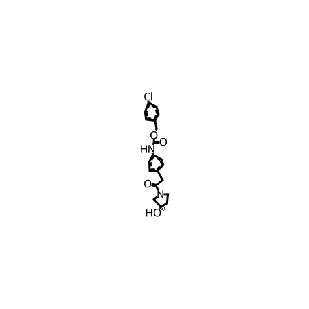 O=C(Nc1ccc(CC(=O)N2CC[C@H](O)C2)cc1)OCc1ccc(Cl)cc1